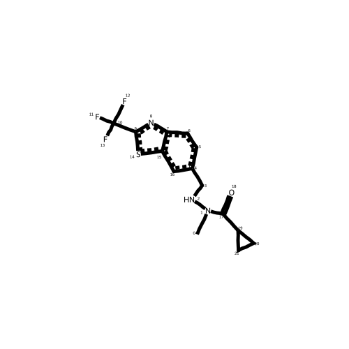 CN(NCc1ccc2nc(C(F)(F)F)sc2c1)C(=O)C1CC1